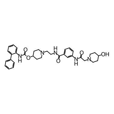 O=C(CN1CCC(O)CC1)Nc1cccc(C(=O)NCCN2CCC(OC(=O)Nc3ccccc3-c3ccccc3)CC2)c1